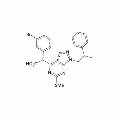 CSc1nc(N(C(=O)O)c2cccc(Br)c2)c2cnn(CC(C)c3ccccc3)c2n1